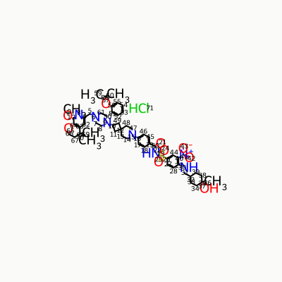 COc1nc(CN2CCN(C3CC4(CCN(c5ccc(C(=O)NS(=O)(=O)c6ccc(NCC7CCC(C)(O)CC7)c([N+](=O)[O-])c6)cc5)CC4)C3)[C@@H](c3ccccc3OC(C)C)C2)cc2c1OCCC2(C)C.Cl